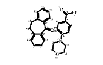 CCC(=O)c1ccc(N2CCOCC2)cc1.O=C1c2ccccc2CCc2ccccc21